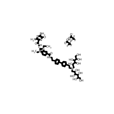 CCn1c(CNC(=O)c2nc(Cl)c(N)nc2N)[n+](CC)c2ccc(C(=O)NCCc3ccc(-c4ccc(CCN(CC(O)C(O)C(O)C(O)CO)CC(O)C(O)C(O)C(O)CO)cc4)cc3)cc21.O=C(O)C(F)(F)F.O=C([O-])C(F)(F)F